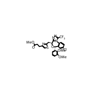 COC(=O)CCc1csc(C[C@@H]2O[C@@H](c3cccc(OC)c3OC)c3cc(Cl)ccc3-n3c2nnc3C(F)(F)F)n1